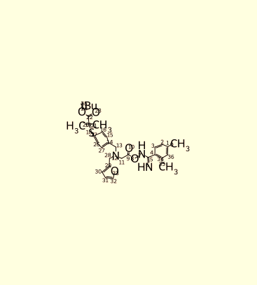 Cc1ccc(C(=N)NOC(=O)CN(Cc2ccc(SC(C)(C)C(=O)OC(C)(C)C)cc2)Cc2ccco2)c(C)c1